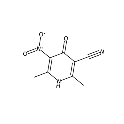 Cc1[nH]c(C)c([N+](=O)[O-])c(=O)c1C#N